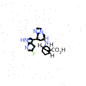 O=C(O)[C@@H]1C(Nc2cc(-c3c[nH]c4ncc(F)cc34)c3nccn3c2)[C@H]2CC[C@@H]1CC2